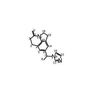 C=C1CCc2cc(C(C)n3ccnc3)cc3c2N1CC3